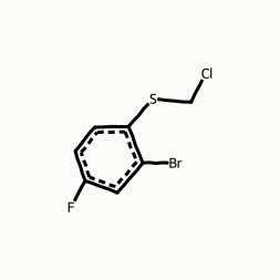 Fc1ccc(SCCl)c(Br)c1